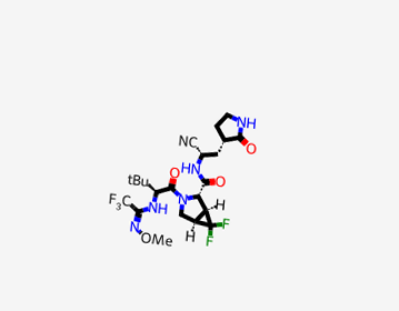 CO/N=C(\N[C@H](C(=O)N1C[C@H]2[C@@H]([C@H]1C(=O)N[C@H](C#N)C[C@@H]1CCNC1=O)C2(F)F)C(C)(C)C)C(F)(F)F